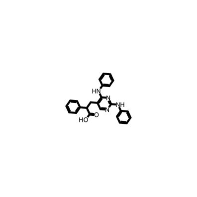 O=C(O)C(Cc1cnc(Nc2ccccc2)nc1Nc1ccccc1)c1ccccc1